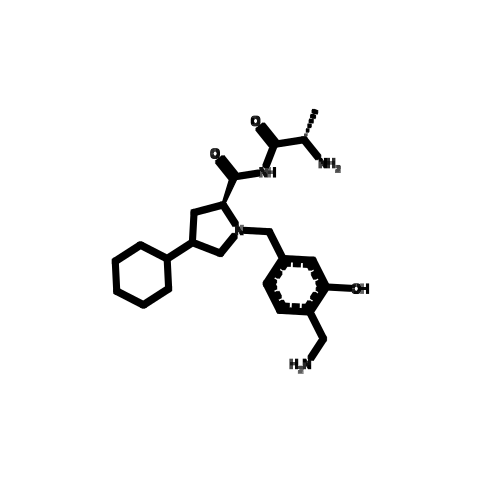 C[C@H](N)C(=O)NC(=O)[C@@H]1CC(C2CCCCC2)CN1Cc1ccc(CN)c(O)c1